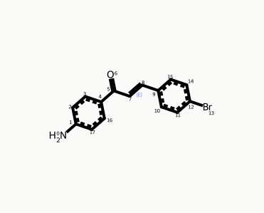 Nc1ccc(C(=O)/C=C/c2ccc(Br)cc2)cc1